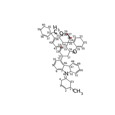 CC1C=CCC(N2c3cccc(C4C=CC5C(C4)OC4=CCCC=C4C54C5C=CC=CC5OC5C(C6(C)C=CCCC6)=CC=CC54)c3C3C=CC=CC32)C1